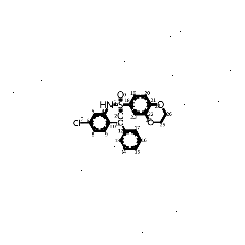 O=S(=O)(Nc1cc(Cl)ccc1Oc1ccccc1)c1ccc2c(c1)OCCO2